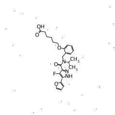 CC(C)N(Cc1ccccc1OCCCCCC(=O)O)C(=O)c1n[nH]c(-c2ccco2)c1F